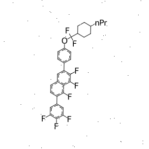 CCCC1CCC(C(F)(F)Oc2ccc(-c3cc4ccc(-c5cc(F)c(F)c(F)c5)c(F)c4c(F)c3F)cc2)CC1